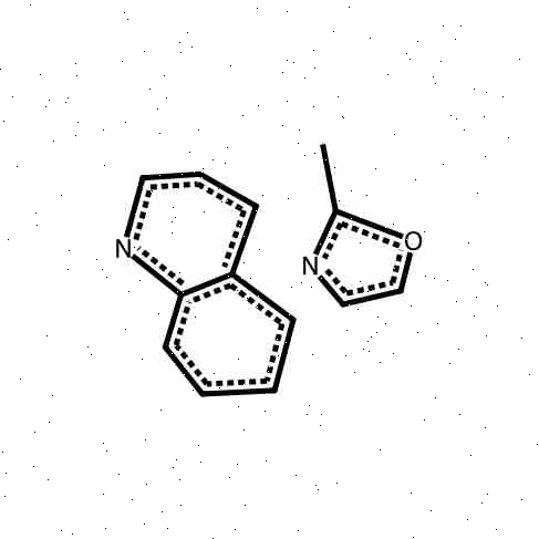 Cc1ncco1.c1ccc2ncccc2c1